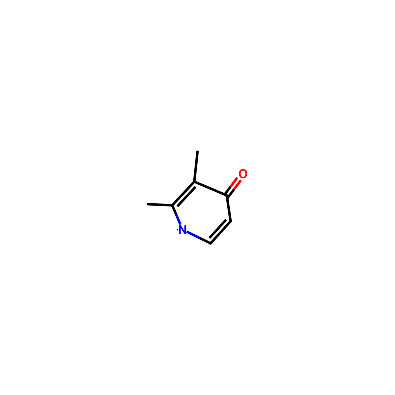 CC1=C(C)C(=O)C=C[N]1